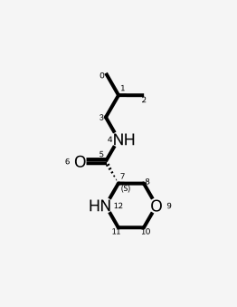 CC(C)CNC(=O)[C@@H]1COCCN1